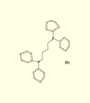 [Rh].c1ccc(P(CCCCP(c2ccccc2)c2ccccc2)c2ccccc2)cc1